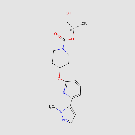 Cn1nccc1-c1cccc(OC2CCN(C(=O)O[C@H](CO)C(F)(F)F)CC2)n1